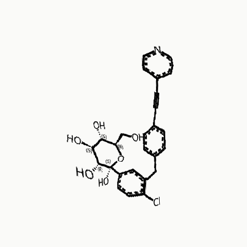 OC[C@H]1O[C@@](O)(c2ccc(Cl)c(Cc3ccc(C#Cc4ccncc4)cc3)c2)[C@H](O)[C@@H](O)[C@@H]1O